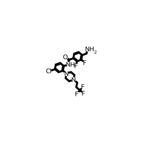 NCc1ccc(C(=O)Nc2ccc(Cl)cc2N2CCN(CCC(F)(F)F)CC2)c(F)c1F